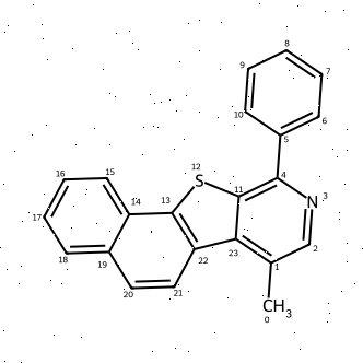 Cc1cnc(-c2ccccc2)c2sc3c4ccccc4ccc3c12